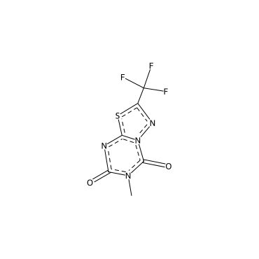 Cn1c(=O)nc2sc(C(F)(F)F)nn2c1=O